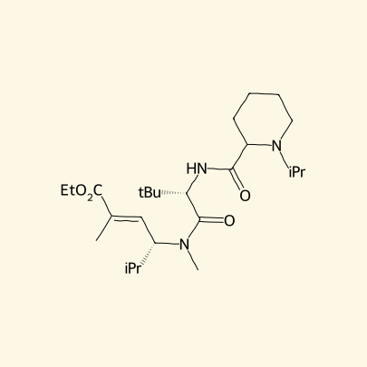 CCOC(=O)/C(C)=C/[C@@H](C(C)C)N(C)C(=O)[C@@H](NC(=O)C1CCCCN1C(C)C)C(C)(C)C